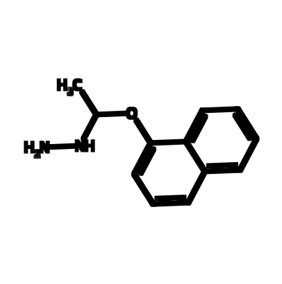 CC(NN)Oc1cccc2ccccc12